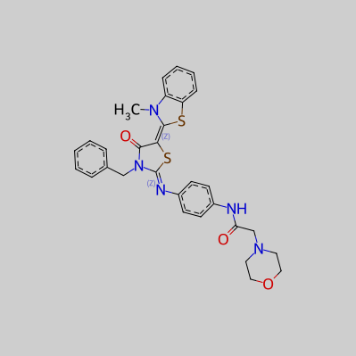 CN1/C(=C2/S/C(=N\c3ccc(NC(=O)CN4CCOCC4)cc3)N(Cc3ccccc3)C2=O)Sc2ccccc21